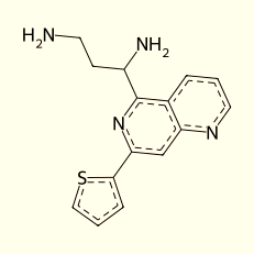 NCCC(N)c1nc(-c2cccs2)cc2ncccc12